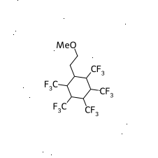 COCCC1C(C(F)(F)F)C(C(F)(F)F)C(C(F)(F)F)C(C(F)(F)F)C1C(F)(F)F